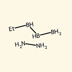 BBBCC.NN